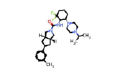 Cc1cccc(C2C[C@@H]3CN(C(=O)N[C@@H]4[C@@H](N5CCN(C(C)C)CC5)CCCC4(F)F)C[C@@H]3C2)c1